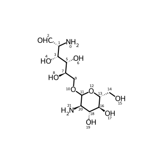 N[C@@H](C=O)[C@@H](O)[C@H](O)[C@H](O)COC1O[C@H](CO)[C@@H](O)[C@H](O)[C@H]1N